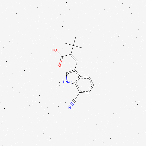 CC(C)(C)C(=Cc1c[nH]c2c(C#N)cccc12)C(=O)O